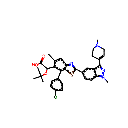 Cc1cc2nc(-c3ccc4c(c3)c(C3=CCN(C)CC3)nn4C)sc2c(-c2ccc(Cl)cc2)c1C(OC(C)(C)C)C(=O)O